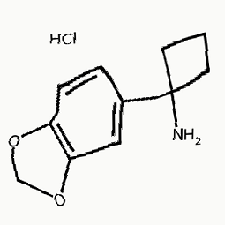 Cl.NC1(c2ccc3c(c2)OCO3)CCC1